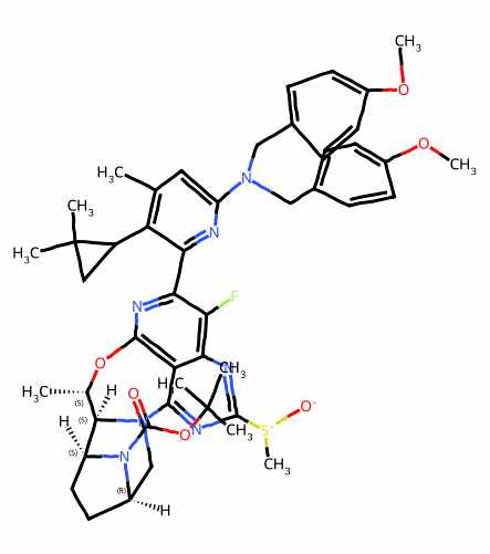 COc1ccc(CN(Cc2ccc(OC)cc2)c2cc(C)c(C3CC3(C)C)c(-c3nc4c5c(nc([S+](C)[O-])nc5c3F)N3C[C@H]5CC[C@@H]([C@H]3[C@H](C)O4)N5C(=O)OC(C)(C)C)n2)cc1